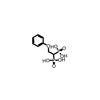 O=P(O)(O)C(COc1ccccc1)P(=O)(O)O